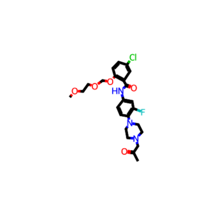 COCCOCOc1ccc(Cl)cc1C(=O)Nc1ccc(N2CCN(CC(C)=O)CC2)c(F)c1